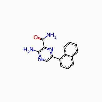 NC(=O)c1nc(-c2cccc3ccccc23)cnc1N